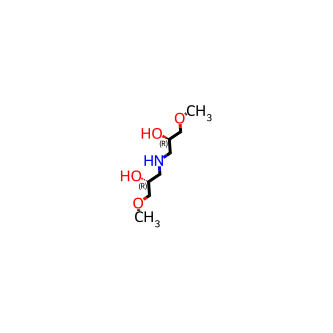 COC[C@H](O)CNC[C@@H](O)COC